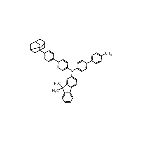 Cc1ccc(-c2ccc(N(c3ccc(-c4ccc(C56CC7CC(CC(C7)C5)C6)cc4)cc3)c3ccc4c(c3)C(C)(C)c3ccccc3-4)cc2)cc1